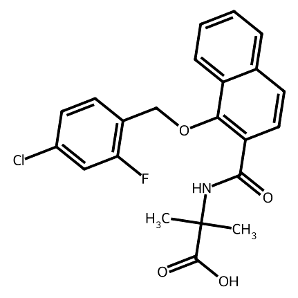 CC(C)(NC(=O)c1ccc2ccccc2c1OCc1ccc(Cl)cc1F)C(=O)O